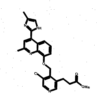 COC(=O)CCc1cncc(Cl)c1COc1cccc2c(-c3nc(C)c[nH]3)cc(C)nc12